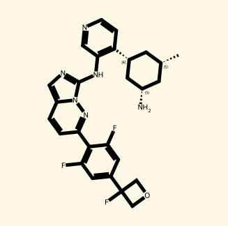 C[C@@H]1C[C@H](N)C[C@H](c2ccncc2Nc2ncc3ccc(-c4c(F)cc(C5(F)COC5)cc4F)nn23)C1